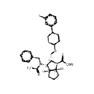 COC(=O)N1[C@@H]2CCC[C@@H]2[C@H](N(Cc2ccccc2)C(=O)C(F)(F)F)[C@@H]1COC1CCC(c2cccc(F)c2)CC1